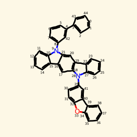 c1ccc(-c2cccc(-n3c4ccccc4c4cc5c(cc43)c3ccccc3n5-c3ccc4oc5ccccc5c4c3)c2)cc1